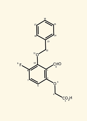 O=Cc1c(OCC(=O)O)ccc(F)c1OCc1ccccc1